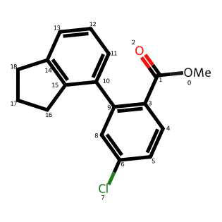 COC(=O)c1ccc(Cl)cc1-c1cccc2c1CCC2